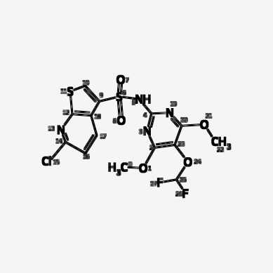 COc1nc(NS(=O)(=O)c2csc3nc(Cl)ccc23)nc(OC)c1OC(F)F